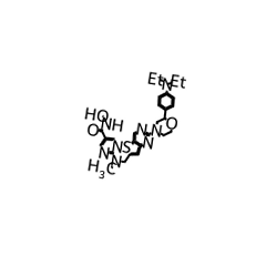 CCN(CC)c1ccc(C2CN(c3ncc4sc(CN(C)c5ncc(C(=O)NO)cn5)cc4n3)CCO2)cc1